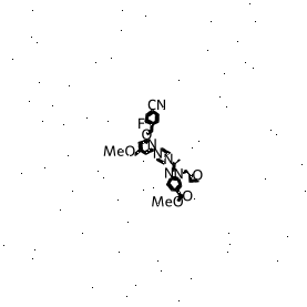 COCc1cc(OCc2ccc(C#N)cc2F)nc(N2CCN([C@@H](C)c3nc4ccc(C(=O)OC)cc4n3C[C@@H]3CCO3)CC2)c1